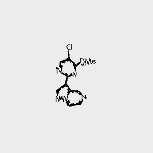 COc1nc(-c2cnn3ccncc23)ncc1Cl